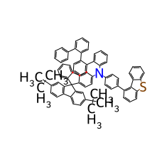 CC(C)(C)c1ccc2c(c1)C1(c3ccccc3-c3cc(N(c4ccc(-c5cccc6sc7ccccc7c56)cc4)c4ccccc4-c4ccccc4-c4ccccc4-c4ccccc4)ccc31)c1cc(C(C)(C)C)ccc1-2